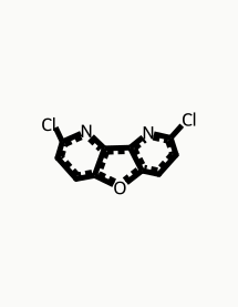 Clc1ccc2oc3ccc(Cl)nc3c2n1